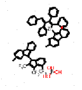 Cc1ccc2c(c1)C(C1C(C(F)(F)F)=C(C(F)(F)F)c3c1cccc3C(F)(F)F)=C1C=CC=CC12.Cc1ccc2c(c1)[C]([Zr][C](=C(C(=Cc1ccccc1)c1ccccc1)c1ccccc1)c1ccccc1)=C1C=CC=CC12.OB(O)O